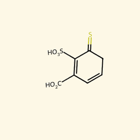 O=C(O)C1=C(S(=O)(=O)O)C(=S)CC=C1